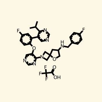 CC(C)c1ncncc1-c1cc(F)ccc1Oc1cncnc1N1CC2(CC(NCc3ccc(F)cc3)CO2)C1.O=C(O)C(F)(F)F